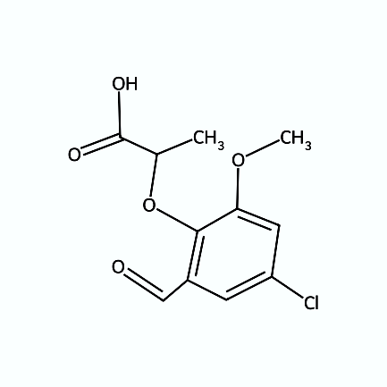 COc1cc(Cl)cc(C=O)c1OC(C)C(=O)O